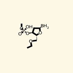 B[C@H]1C[C@H](OP(=O)(O)OC)[C@@H](COCC)O1